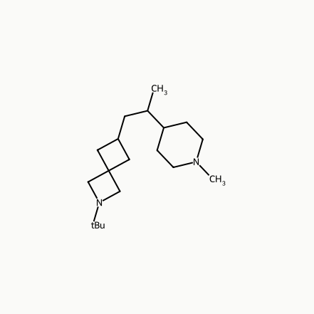 CC(CC1CC2(C1)CN(C(C)(C)C)C2)C1CCN(C)CC1